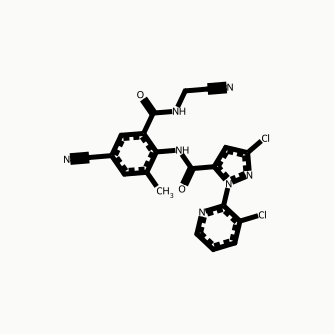 Cc1cc(C#N)cc(C(=O)NCC#N)c1NC(=O)c1cc(Cl)nn1-c1ncccc1Cl